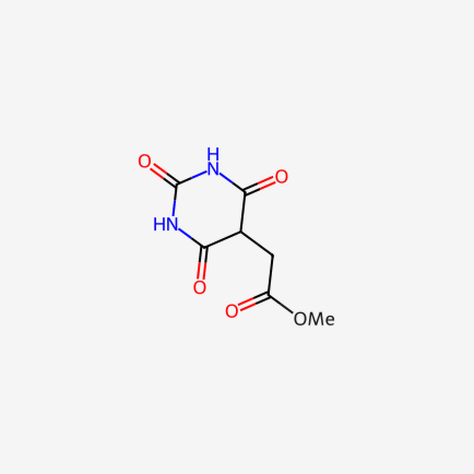 COC(=O)CC1C(=O)NC(=O)NC1=O